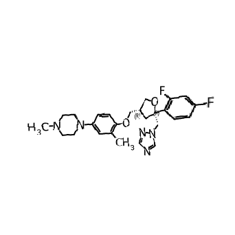 Cc1cc(N2CCN(C)CC2)ccc1OC[C@@H]1CO[C@@](Cn2cncn2)(c2ccc(F)cc2F)C1